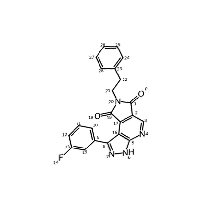 O=C1c2cnc3[nH]nc(-c4cccc(F)c4)c3c2C(=O)N1CCc1ccccc1